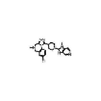 CN1Cc2cc(Cl)ccc2-n2c(nnc2C2CCN(c3nc4cnccc4n3C)CC2)C1